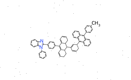 Cc1ccc(-c2c3ccccc3c(C3C=C(C4C5CC=CC=C5C(c5ccc(-c6nc7ccccc7n6-c6ccccc6)cc5)=C5C=CCCC54)C=CC3)c3ccccc23)cc1